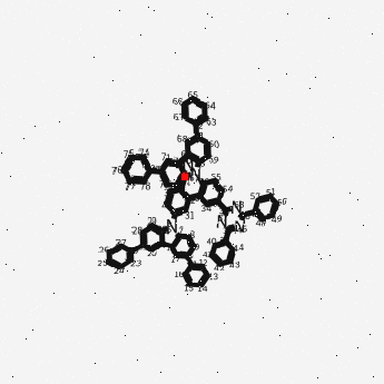 N#Cc1ccc(-n2c3ccc(-c4ccccc4)cc3c3cc(-c4ccccc4)ccc32)cc1-c1cc(-c2nc(-c3ccccc3)nc(-c3ccccc3)n2)ccc1-n1c2ccc(-c3ccccc3)cc2c2cc(-c3ccccc3)ccc21